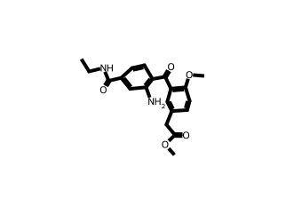 CCNC(=O)c1ccc(C(=O)c2cc(CC(=O)OC)ccc2OC)c(N)c1